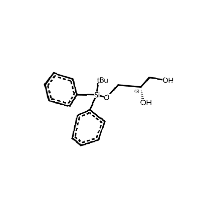 CC(C)(C)[Si](OC[C@@H](O)CO)(c1ccccc1)c1ccccc1